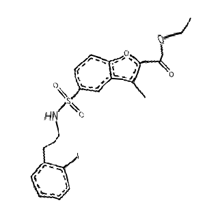 CCOC(=O)c1oc2ccc(S(=O)(=O)NCCc3ccccc3I)cc2c1C